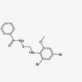 COc1cc(Br)cc(Br)c1NCSNC(=O)c1ccccc1